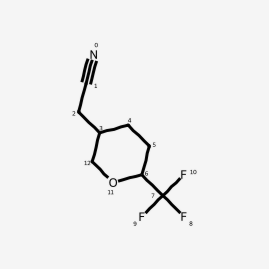 N#CCC1CCC(C(F)(F)F)OC1